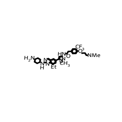 CCc1cc(-c2cc(NC(=O)Cc3ccc(OCCCNC)c(C(F)(F)F)c3)nn2C)cc2cnc(N[C@H]3CC[C@H](N)CC3)nc12